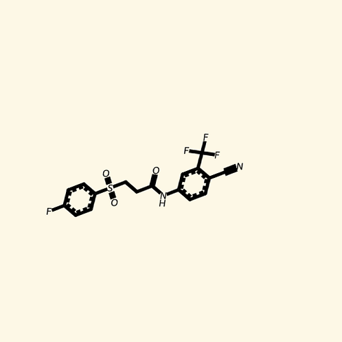 N#Cc1ccc(NC(=O)CCS(=O)(=O)c2ccc(F)cc2)cc1C(F)(F)F